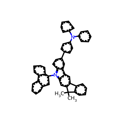 CC1(C)c2ccccc2-c2cc3c4cc(-c5ccc(N(c6ccccc6)c6ccccc6)cc5)ccc4n(-c4cc5ccccc5c5ccccc45)c3cc21